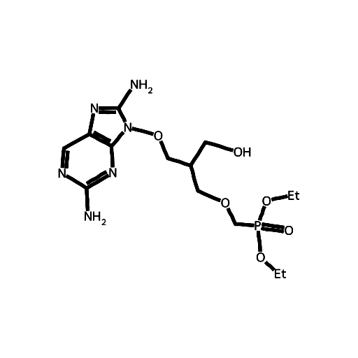 CCOP(=O)(COCC(CO)COn1c(N)nc2cnc(N)nc21)OCC